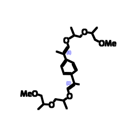 COCC(C)OCC(C)O/C=C(\C)c1ccc(/C(C)=C/OC(C)COC(C)COC)cc1